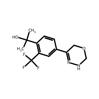 CC(C)(O)c1ccc(C2=NNCOC2)cc1C(F)(F)F